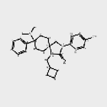 CN(C)[C@]1(c2ccccc2)CC[C@@]2(CC1)CN(c1ncc(F)cn1)C(=O)N2CC1CCC1